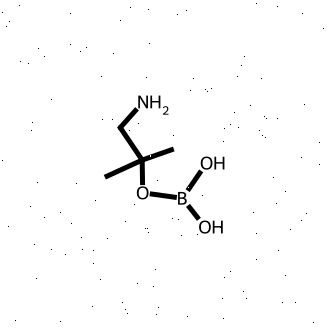 CC(C)(CN)OB(O)O